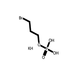 O=P(O)(O)OCCCBr.[KH]